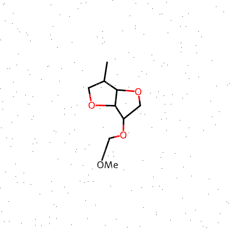 COCOC1COC2C(C)COC12